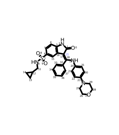 O=C1Nc2ccc(S(=O)(=O)NCC3CC3)cc2/C1=C(/Nc1ccc(N2CCOCC2)cc1)c1ccccc1